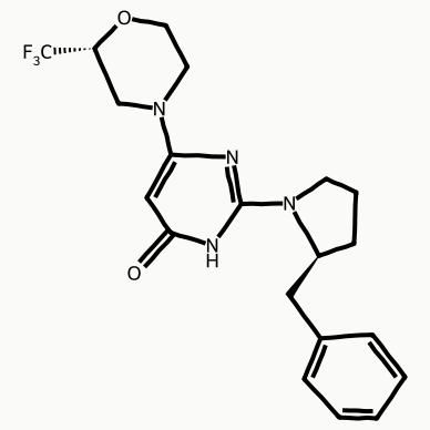 O=c1cc(N2CCO[C@@H](C(F)(F)F)C2)nc(N2CCC[C@H]2Cc2ccccc2)[nH]1